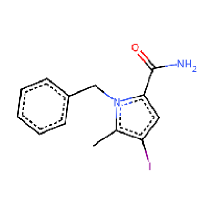 Cc1c(I)cc(C(N)=O)n1Cc1ccccc1